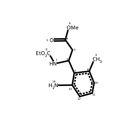 CCOC(=O)NC(CC(=O)OC)c1c(C)cccc1N